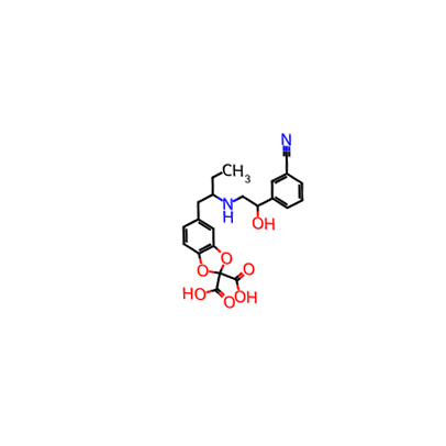 CCC(Cc1ccc2c(c1)OC(C(=O)O)(C(=O)O)O2)NCC(O)c1cccc(C#N)c1